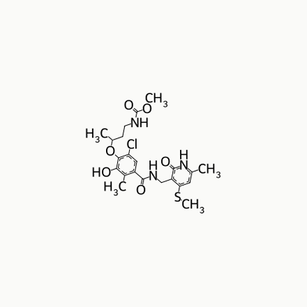 COC(=O)NCCC(C)Oc1c(Cl)cc(C(=O)NCc2c(SC)cc(C)[nH]c2=O)c(C)c1O